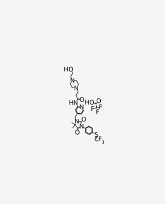 CC1(C)C(=O)N(c2ccc(SC(F)(F)F)cc2)C(=O)N1Cc1ccnc(NC(=O)CCN2CCN(CCO)CC2)c1.O=C(O)C(F)(F)F